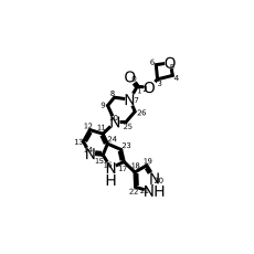 O=C(OC1COC1)N1CCN(c2ccnc3[nH]c(-c4cn[nH]c4)cc23)CC1